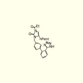 CCCCCc1cn(C(=O)CC)c(=O)n1Cc1ccc(-c2ccccc2-c2nnn[nH]2)cc1